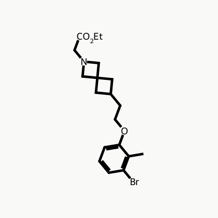 CCOC(=O)CN1CC2(CC(CCOc3cccc(Br)c3C)C2)C1